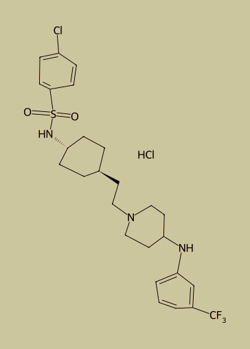 Cl.O=S(=O)(N[C@H]1CC[C@H](CCN2CCC(Nc3cccc(C(F)(F)F)c3)CC2)CC1)c1ccc(Cl)cc1